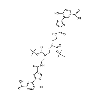 CC(C)(C)OC(=O)N(CCNC(=O)c1csc(-c2cc(C(=O)O)ccc2O)n1)CCN(CCNC(=O)c1csc(-c2cc(C(=O)O)ccc2O)n1)C(=O)OC(C)(C)C